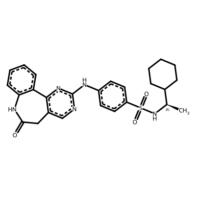 C[C@@H](NS(=O)(=O)c1ccc(Nc2ncc3c(n2)-c2ccccc2NC(=O)C3)cc1)C1CCCCC1